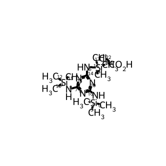 C[Si](C)(C)Nc1nc(N[Si](C)(C)C)nc(N[Si](C)(C)C)n1.O=C(O)Cl